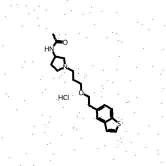 CC(=O)NC1CCN(CCCOCCc2ccc3sccc3c2)C1.Cl